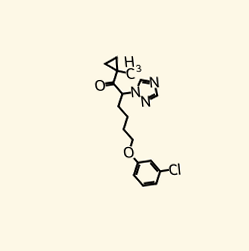 CC1(C(=O)C(CCCCOc2cccc(Cl)c2)n2cncn2)CC1